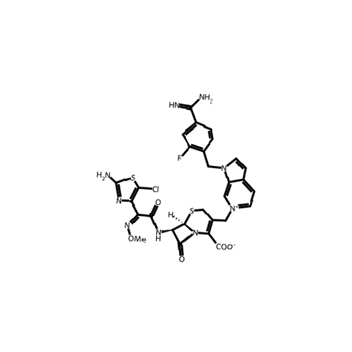 CO/N=C(\C(=O)N[C@@H]1C(=O)N2C(C(=O)[O-])=C(C[n+]3ccc4ccn(Cc5ccc(C(=N)N)cc5F)c4c3)CS[C@H]12)c1nc(N)sc1Cl